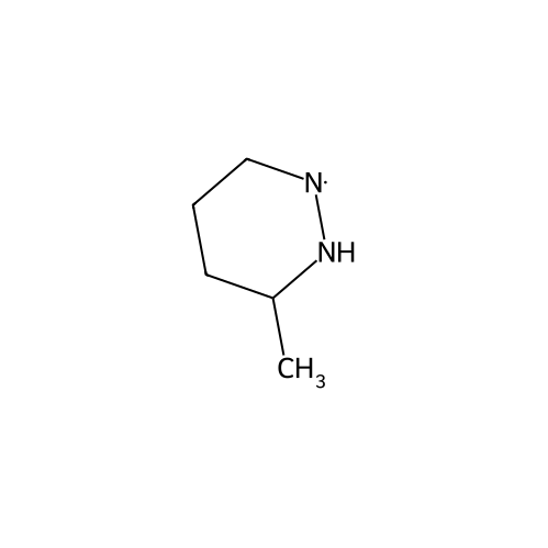 CC1CCC[N]N1